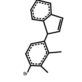 Cc1c(Br)ccc(C2C=Cc3ccccc32)c1C